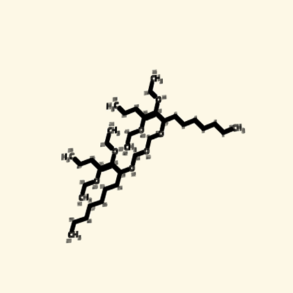 CCCCCCCC(OCOCOC(CCCCCCC)C(OCC)=C(CCC)OCC)C(OCC)=C(CCC)OCC